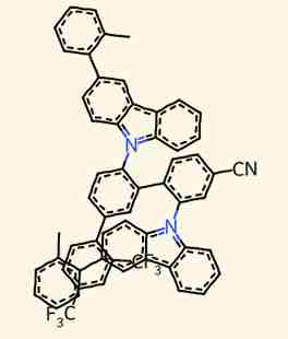 Cc1ccccc1-c1ccc2c(c1)c1ccccc1n2-c1ccc(-c2ccc(C(F)(F)F)cc2C(F)(F)F)cc1-c1ccc(C#N)cc1-n1c2ccccc2c2cc(-c3ccccc3C)ccc21